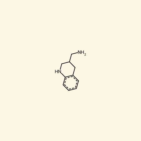 NCC1CNc2ccccc2C1